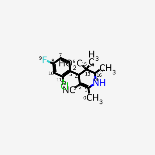 CC1=C(C#N)C(c2ccc(F)cc2Cl)C(C)(C(=O)O)C(C)N1